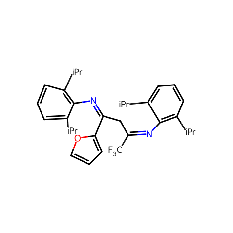 CC(C)c1cccc(C(C)C)c1/N=C(/C/C(=N\c1c(C(C)C)cccc1C(C)C)C(F)(F)F)c1ccco1